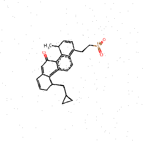 CC1C=CC(CC[SH](=O)=O)=c2ccc3c(c21)C(=O)C=C1C=CCC(CC2CC2)C=31